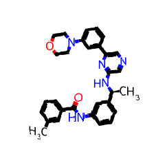 Cc1cccc(C(=O)Nc2cccc([C@H](C)Nc3cncc(-c4cccc(N5CCOCC5)c4)n3)c2)c1